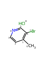 Cc1ccncc1Br.Cl